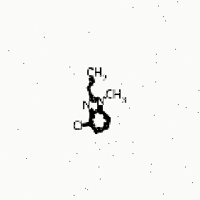 C=CCc1nc2c(Cl)cccc2n1C